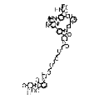 Cc1cc(F)c(Nc2nc(-c3ccc4c(c3)N([C@H]3C[C@@H](N5CCCCC5)C3)C(=O)C43CCN(C(=O)CCOCCOCCOCCOCCNc4cccc5c4C(=O)N(C4CCC(=O)NC4=O)C5=O)CC3)cc3ncn(C(C)C)c23)cc1C(=O)NC(C)C